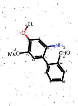 CCOc1cc(N)c(-c2ccccc2C=O)cc1OC